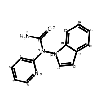 NC(=O)N(c1ccccn1)n1ccc2ccccc21